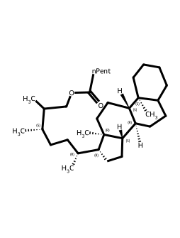 CCCCCC(=O)OCC(C)[C@@H](C)CC[C@@H](C)[C@H]1CC[C@H]2[C@@H]3CCC4CCCC[C@]4(C)[C@H]3CC[C@]12C